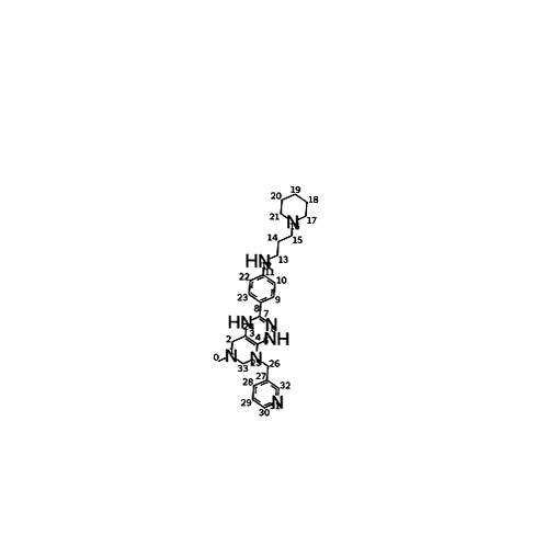 CN1CC2=C(NN=C(c3ccc(NCCCN4CCCCC4)cc3)N2)N(Cc2cccnc2)C1